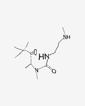 CNCCNC(=O)N(C)C(C)C(=O)C(C)(C)C